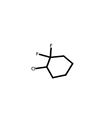 FC1(F)CCCCC1Cl